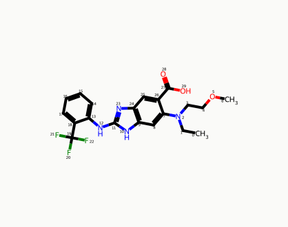 CCN(CCOC)c1cc2[nH]c(Nc3ccccc3C(F)(F)F)nc2cc1C(=O)O